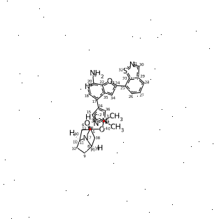 CC(C)(C)OC(=O)N1[C@@H]2CC[C@H]1C[C@H](n1cc(-c3cnc(N)c4oc(-c5cccc6cnsc56)cc34)cn1)C2